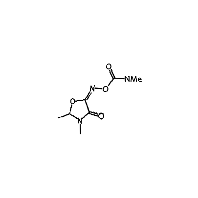 CNC(=O)ON=C1OC(C)N(C)C1=O